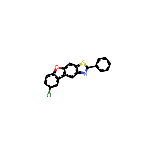 Clc1ccc2oc3cc4sc(-c5ccccc5)nc4cc3c2c1